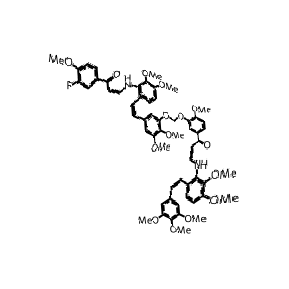 COc1ccc(C(=O)/C=C\Nc2c(/C=C\c3cc(OC)c(OC)c(OCOc4cc(C(=O)/C=C\Nc5c(/C=C\c6cc(OC)c(OC)c(OC)c6)ccc(OC)c5OC)ccc4OC)c3)ccc(OC)c2OC)cc1F